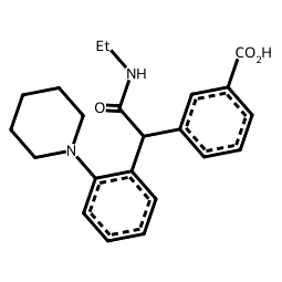 CCNC(=O)C(c1cccc(C(=O)O)c1)c1ccccc1N1CCCCC1